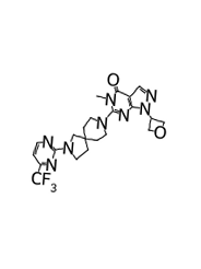 Cn1c(N2CCC3(CCN(c4nccc(C(F)(F)F)n4)C3)CC2)nc2c(cnn2C2COC2)c1=O